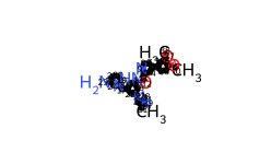 COc1ccc(-c2ccnc(C(=O)Nc3cc(CN4CCC[C@H](N)C4)cc(-n4cnc(C)c4)c3)c2)cc1OC